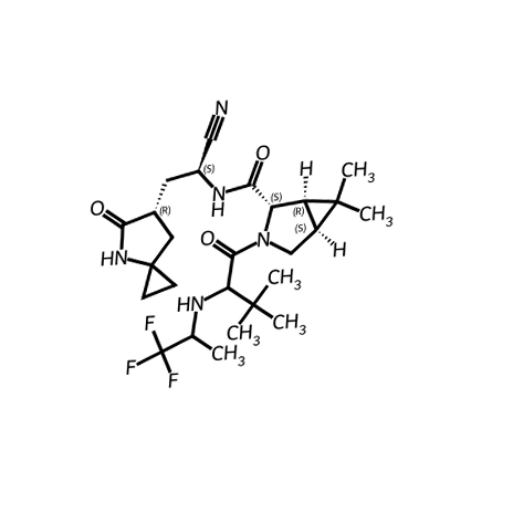 CC(NC(C(=O)N1C[C@H]2[C@@H]([C@H]1C(=O)N[C@H](C#N)C[C@@H]1CC3(CC3)NC1=O)C2(C)C)C(C)(C)C)C(F)(F)F